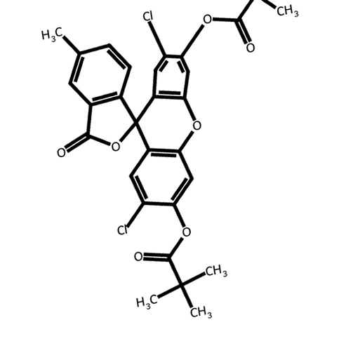 Cc1ccc2c(c1)C(=O)OC21c2cc(Cl)c(OC(=O)C(C)(C)C)cc2Oc2cc(OC(=O)C(C)(C)C)c(Cl)cc21